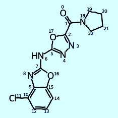 O=C(c1nnc(Nc2nc3c(Cl)cccc3o2)o1)N1CCCC1